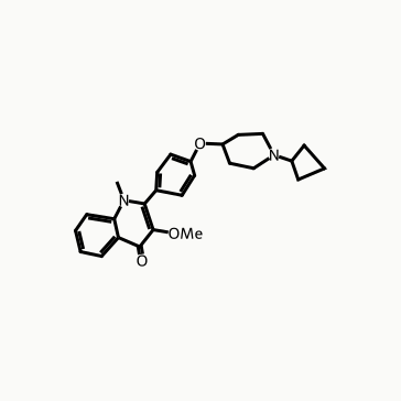 COc1c(-c2ccc(OC3CCN(C4CCC4)CC3)cc2)n(C)c2ccccc2c1=O